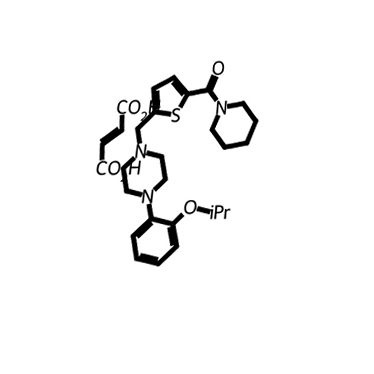 CC(C)Oc1ccccc1N1CCN(Cc2ccc(C(=O)N3CCCCC3)s2)CC1.O=C(O)C=CC(=O)O